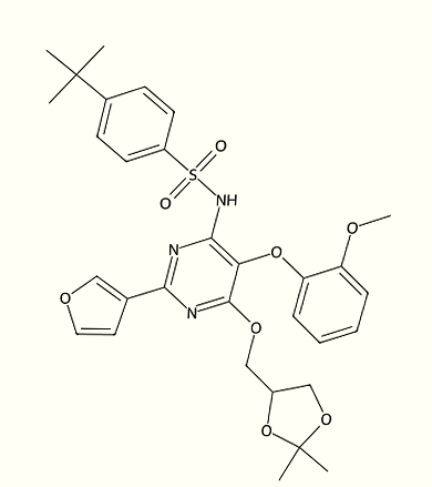 COc1ccccc1Oc1c(NS(=O)(=O)c2ccc(C(C)(C)C)cc2)nc(-c2ccoc2)nc1OCC1COC(C)(C)O1